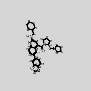 O=C(c1cc(NCC2CCCCC2)nc2ccc(-c3ccc4c(c3)OCO4)cc12)N1CCC[C@H]1CN1CCCC1